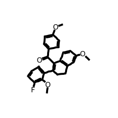 COc1ccc(C(=O)C2=C(c3cccc(F)c3OC)CCc3cc(OC)ccc32)cc1